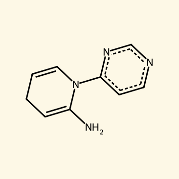 NC1=CCC=CN1c1ccncn1